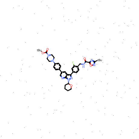 CC(C)(C)OC(=O)N1CCN(c2ccc(-c3cnc4c(c3)c(-c3ccc(CNC(=O)c5nc(C(C)(C)C)no5)c(F)c3)nn4C3CCCCO3)cc2)CC1